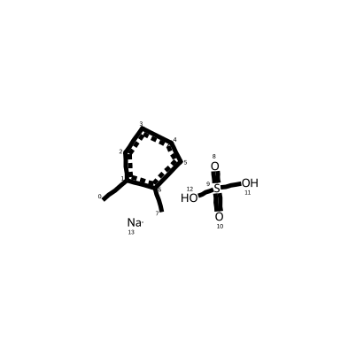 Cc1ccccc1C.O=S(=O)(O)O.[Na]